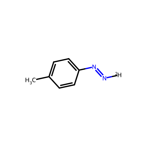 [2H]N=Nc1ccc(C)cc1